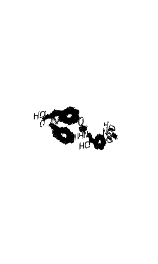 CS(=O)(=O)Nc1cccc([C@@H](O)CNCCOc2ccc3cc(C(=O)O)n(Cc4ccccc4)c3c2)c1